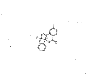 Cc1ccc2c(c1)N(C)[C@](c1ccccc1)(C(F)(F)F)OC2=O